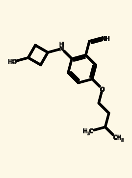 CC(C)CCOc1ccc(NC2CC(O)C2)c(C=N)c1